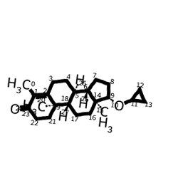 CC1=C2CC[C@H]3[C@@H]4CC[C@H](OC5CC5)[C@@]4(C)CC[C@@H]3[C@@]2(C)CCC1=O